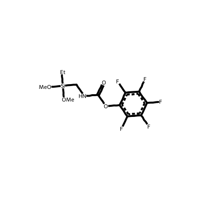 CC[Si](CNC(=O)Oc1c(F)c(F)c(F)c(F)c1F)(OC)OC